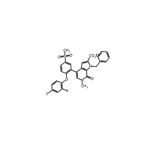 CCOC(=O)c1cc2c(-c3cc(S(C)(=O)=O)ccc3Oc3ccc(F)cc3F)cn(C)c(=O)c2n1Cc1ccccc1